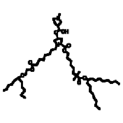 CCCCCCCCC(CCCCCCCC)OC(=O)C(C)(C)CCCCCCOC(=O)[C@@H]1C[C@H](OC(O)[C@H]2CCN(C)C2)CN1CCCCCCCC(=O)OCCCC(CCCCC)CCCCC